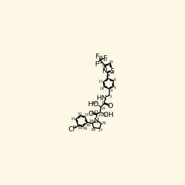 O=C(NCc1ccc(-c2nc(C(F)(F)F)cs2)cc1)[C@H](O)[C@@H](O)C(=O)N1CCCC1c1cccc(Cl)c1